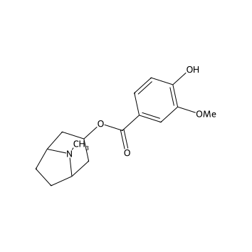 COc1cc(C(=O)OC2CC3CCC(C2)N3C)ccc1O